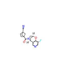 N#CC12CCC(C(=O)N3C[C@@H]4C[C@H]3c3cncc(F)c3O4)(C1)C2